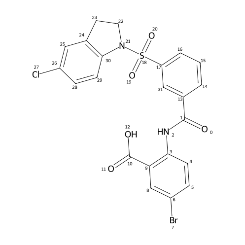 O=C(Nc1ccc(Br)cc1C(=O)O)c1cccc(S(=O)(=O)N2CCc3cc(Cl)ccc32)c1